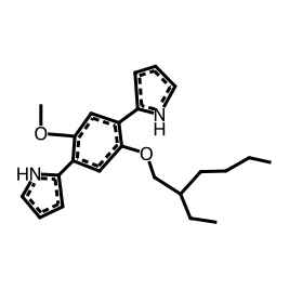 CCCCC(CC)COc1cc(-c2ccc[nH]2)c(OC)cc1-c1ccc[nH]1